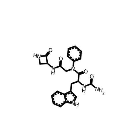 NC(=O)NC(Cc1c[nH]c2ccccc12)C(=O)N(CC(=O)NC1CNC1=O)c1ccccc1